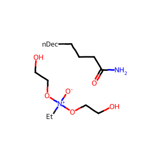 CCCCCCCCCCCCCC(N)=O.CC[N+]([O-])(OCCO)OCCO